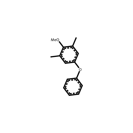 COc1c(C)cc(Oc2ccccc2)cc1C